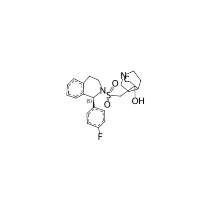 O=S(=O)(CC1(O)CN2CCC1CC2)N1CCc2ccccc2[C@@H]1c1ccc(F)cc1